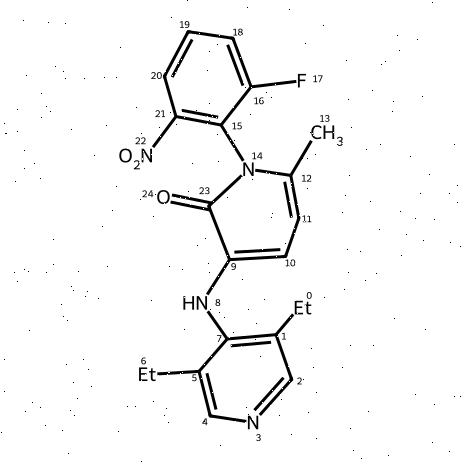 CCc1cncc(CC)c1Nc1ccc(C)n(-c2c(F)cccc2[N+](=O)[O-])c1=O